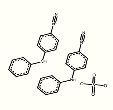 N#[N+]c1ccc(Nc2ccccc2)cc1.N#[N+]c1ccc(Nc2ccccc2)cc1.O=S(=O)([O-])[O-]